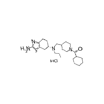 CCCN(CC1CCN(C(=O)C2CCCCC2)CC1)[C@H]1CCc2nc(N)sc2C1.Cl